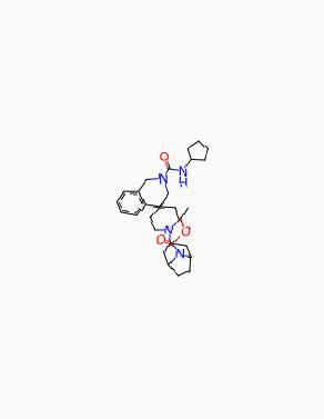 CCOC(=O)N1C2CCC1CC(N1CCC3(CC1)CN(C(=O)NC1CCCC1)Cc1ccccc13)C2